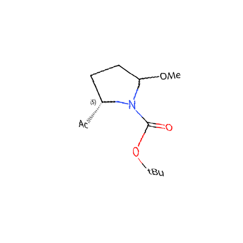 COC1CC[C@@H](C(C)=O)N1C(=O)OC(C)(C)C